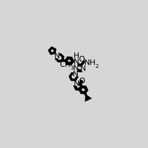 CC1(c2ccc(Nc3nc(N4CCC[C@@H](n5ccc6cc(C7CC7)ccc6c5=O)C4)cnc3C(N)=O)cc2)CCN(C2CCCC2)CC1